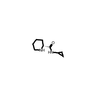 O=C(NC1CC1)[C@H]1CCCCN1